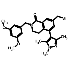 COc1cc(CN2CCc3c(cc(CBr)cc3-c3c(C)nn(C)c3C)C2=O)cc(OC)c1